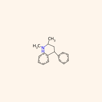 CNC(C)CC(c1ccccc1)c1ccccc1